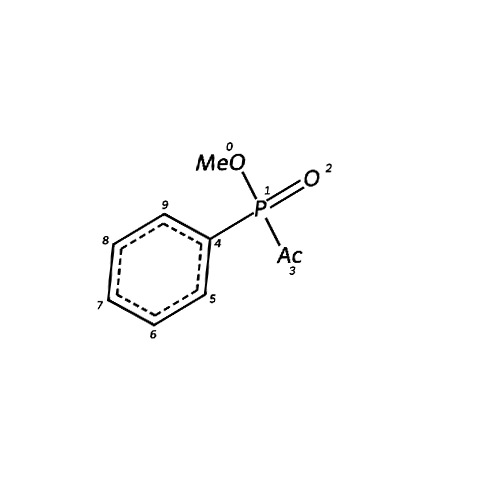 COP(=O)(C(C)=O)c1ccccc1